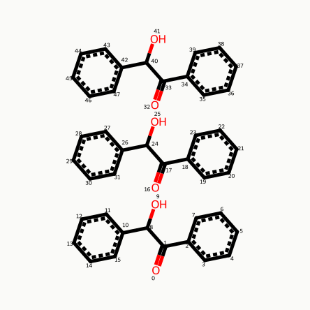 O=C(c1ccccc1)C(O)c1ccccc1.O=C(c1ccccc1)C(O)c1ccccc1.O=C(c1ccccc1)C(O)c1ccccc1